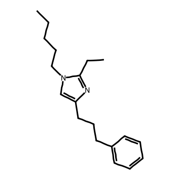 CCCCCn1cc(CCCc2ccccc2)nc1CC